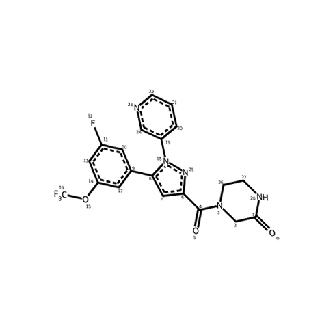 O=C1CN(C(=O)c2cc(-c3cc(F)cc(OC(F)(F)F)c3)n(-c3cccnc3)n2)CCN1